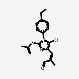 C=C(C)Sc1nc(C=C(C)C=O)c(Cl)n1-c1ccc(CC)cc1